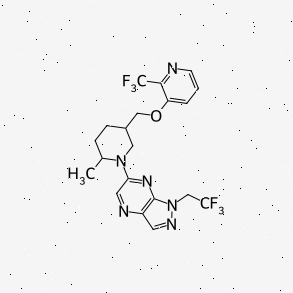 CC1CCC(COc2cccnc2C(F)(F)F)CN1c1cnc2cnn(CC(F)(F)F)c2n1